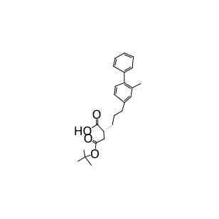 Cc1cc(CCC[C@H](CC(=O)OC(C)(C)C)C(=O)O)ccc1-c1ccccc1